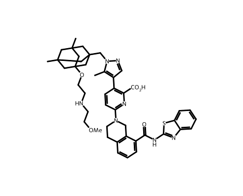 COCCNCCOC12CC3(C)CC(C)(CC(Cn4ncc(-c5ccc(N6CCc7cccc(C(=O)Nc8nc9ccccc9s8)c7C6)nc5C(=O)O)c4C)(C3)C1)C2